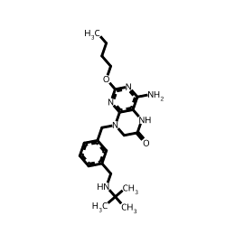 CCCCOc1nc(N)c2c(n1)N(Cc1cccc(CNC(C)(C)C)c1)CC(=O)N2